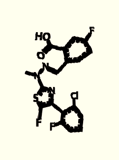 CN(/N=C/c1ccc(F)cc1C(=O)O)c1nc(-c2c(F)cccc2Cl)c(F)s1